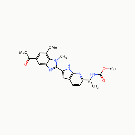 COC(=O)c1cc(OC)c2c(c1)nc(-c1cc3ccc([C@@H](C)NC(=O)OC(C)(C)C)nc3[nH]1)n2C